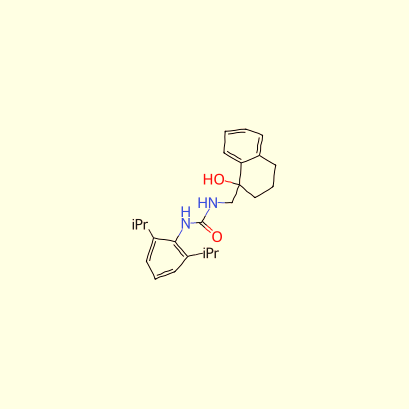 CC(C)c1cccc(C(C)C)c1NC(=O)NCC1(O)CCCc2ccccc21